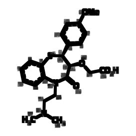 COc1ccc([C@@H]2Sc3ccccc3N(CCN(C)C)C(=O)[C@@H]2OCC(=O)O)cc1